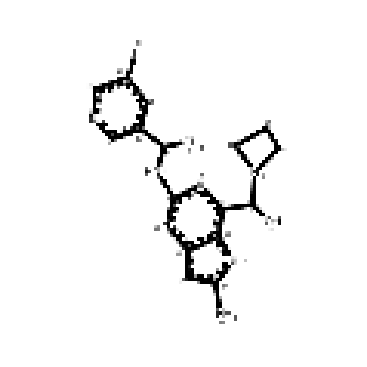 CC(Nc1nc(C(O)N2CCC2)c2sc(N)cc2n1)c1cncc(F)c1